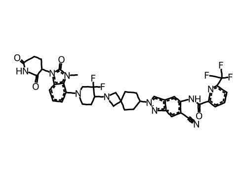 Cn1c(=O)n(C2CCC(=O)NC2=O)c2cccc(N3CCC(N4CC5(CCC(n6cc7cc(NC(=O)c8cccc(C(F)(F)F)n8)c(C#N)cc7n6)CC5)C4)C(F)(F)C3)c21